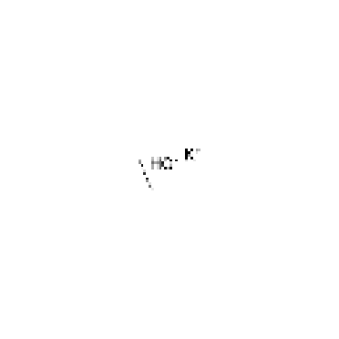 CC.[K+].[OH-]